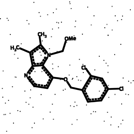 COCn1c(C)c(C)c2nccc(OCc3ccc(Cl)cc3Cl)c21